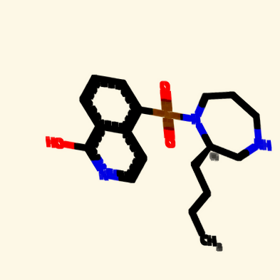 CCCC[C@@H]1CNCCCN1S(=O)(=O)c1cccc2c(O)nccc12